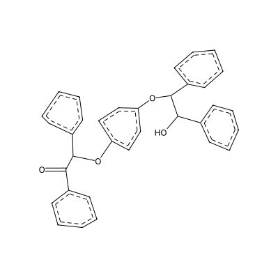 O=C(c1ccccc1)C(Oc1ccc(OC(c2ccccc2)C(O)c2ccccc2)cc1)c1ccccc1